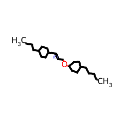 CCCCCC1CCC(OC/C=C/C2CCC(CCCC)CC2)CC1